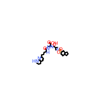 O=C(CCCCc1ccc2c(n1)NCCC2)NCC(NC(=O)C1CN(S(=O)(=O)c2ccc3c(c2)CCC3)C1)C(=O)O